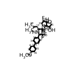 COc1ccc(-c2ccc([C@H](N[C@@H](CC(C)C)C(=O)N3C[C@H](F)[C@H]4OC[C@H](O)[C@H]43)C(F)(F)F)cc2)cc1